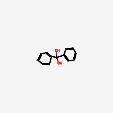 OC(O)(c1cc[c]cc1)c1ccccc1